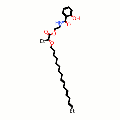 CCC=CCC=CCC=CCCCCCCCCOC(CC)C(=O)OCCNC(=O)c1ccccc1O